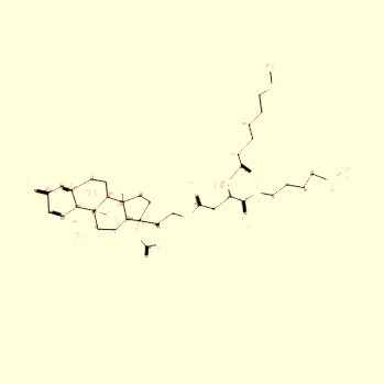 CCC(=O)O[C@]1(C(=O)COC(=O)CC(NC(=O)CCCCCO[N+](=O)[O-])C(=O)OCCCCO[N+](=O)[O-])[C@@H](C)C[C@H]2[C@@H]3CCC4=CC(=O)C=C[C@]4(C)[C@@]3(F)[C@@H](O)C[C@@]21C